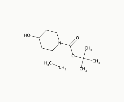 CC.CC(C)(C)OC(=O)N1CCC(O)CC1